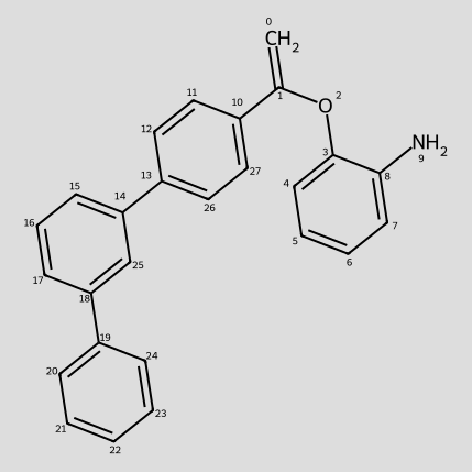 C=C(Oc1ccccc1N)c1ccc(-c2cccc(-c3ccccc3)c2)cc1